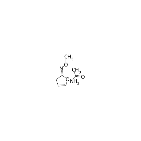 CC(N)=O.CON=C1CC=CO1